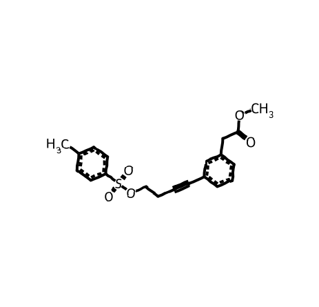 COC(=O)Cc1cccc(C#CCCOS(=O)(=O)c2ccc(C)cc2)c1